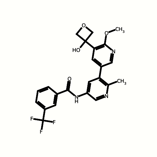 COc1ncc(-c2cc(NC(=O)c3cccc(C(F)(F)F)c3)cnc2C)cc1C1(O)COC1